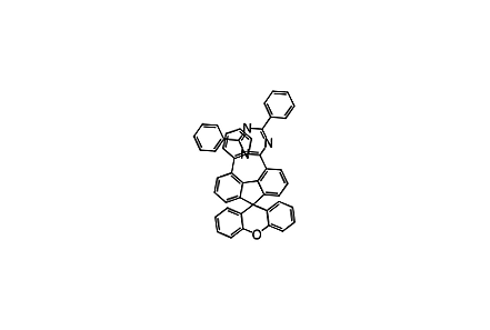 c1ccc(-c2nc(-c3ccccc3)nc(-c3cccc4c3-c3c(-c5ccccc5)cccc3C43c4ccccc4Oc4ccccc43)n2)cc1